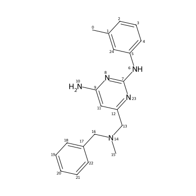 Cc1cccc(Nc2nc(N)cc(CN(C)Cc3ccccc3)n2)c1